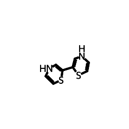 C1=CSC(C2=CNC=CS2)=CN1